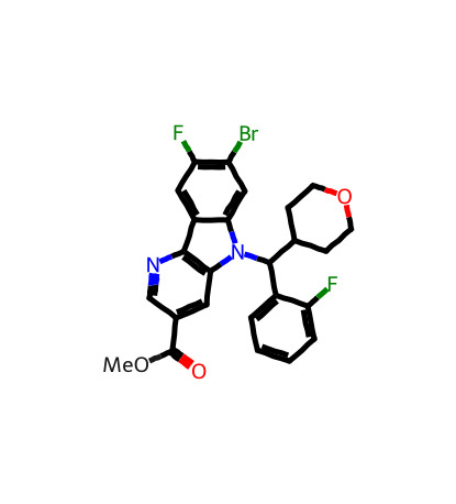 COC(=O)c1cnc2c3cc(F)c(Br)cc3n(C(c3ccccc3F)C3CCOCC3)c2c1